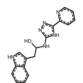 OC(Cc1c[nH]c2ccccc12)Nc1nnc(-c2ccccn2)[nH]1